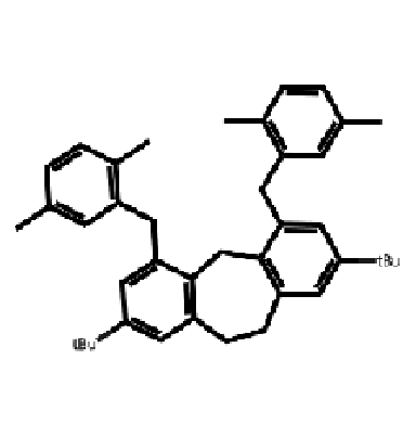 Cc1ccc(C)c(Cc2cc(C(C)(C)C)cc3c2Cc2c(cc(C(C)(C)C)cc2Cc2cc(C)ccc2C)CC3)c1